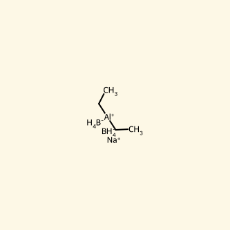 C[CH2][Al+][CH2]C.[BH4-].[BH4-].[Na+]